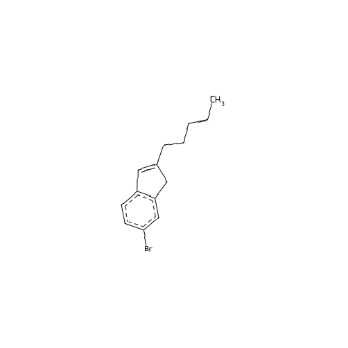 CCCCCC1=Cc2ccc(Br)cc2C1